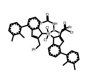 CCC(=O)N[B](NC(=O)CC)[Hf]([Cl])([Cl])([CH]1C(CC(C)C)=Cc2c(-c3cccc(C)c3C)cccc21)[CH]1C(CC(C)C)=Cc2c(-c3cccc(C)c3C)cccc21